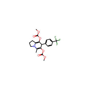 COC(=O)OC1=C(C)N2CCCC2=C(OC(=O)OC)C1c1ccc(C(F)(F)F)cc1